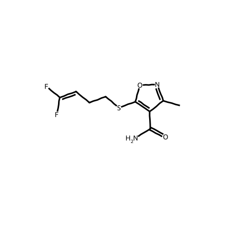 Cc1noc(SCCC=C(F)F)c1C(N)=O